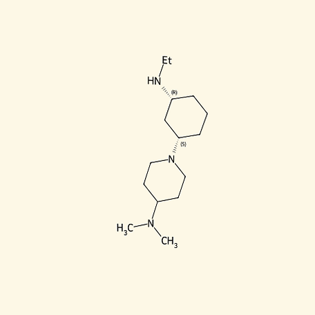 CCN[C@@H]1CCC[C@H](N2CCC(N(C)C)CC2)C1